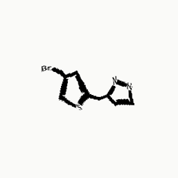 Brc1csc(C2=N[N]C=C2)c1